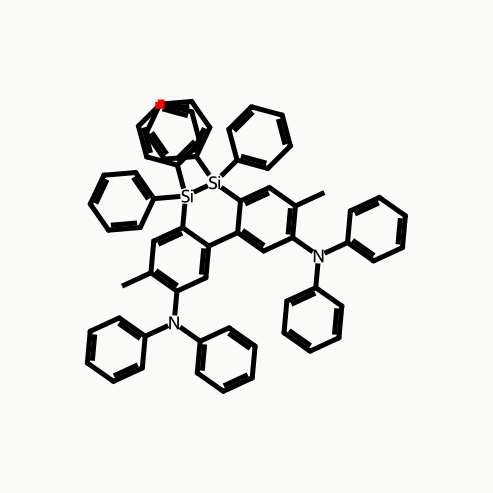 Cc1cc2c(cc1N(c1ccccc1)c1ccccc1)-c1cc(N(c3ccccc3)c3ccccc3)c(C)cc1[Si](c1ccccc1)(c1ccccc1)[Si]2(c1ccccc1)c1ccccc1